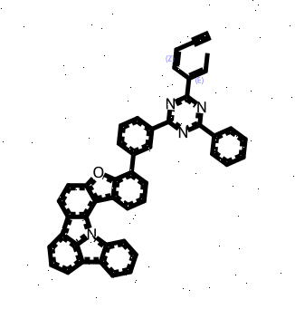 C#C/C=C\C(=C/C)c1nc(-c2ccccc2)nc(-c2cccc(-c3cccc4c3oc3ccc5c6cccc7c8ccccc8n(c76)c5c34)c2)n1